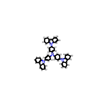 C1=CC2C3=C(CCC=C3)N(C3=CCC(N(C4=CCC(N5C6=C(CCCC6)C6C=CC=CC65)C=C4)C4=CC=C(N5C6=C(CCC=C6)C6CCC=CC65)CC4)C=C3)C2C=C1